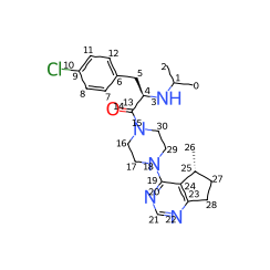 CC(C)N[C@H](Cc1ccc(Cl)cc1)C(=O)N1CCN(c2ncnc3c2[C@H](C)CC3)CC1